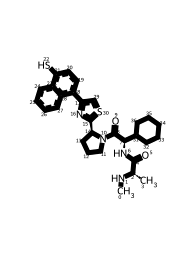 CN[C@@H](C)C(=O)N[C@H](C(=O)N1CCC[C@H]1c1nc(-c2ccc(S)c3ccccc23)cs1)C1CCCCC1